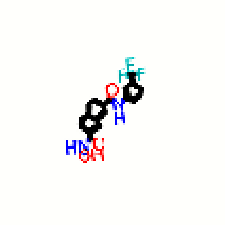 O=C(NO)c1ccc2ccc(C(=O)Nc3cccc(C(F)(F)F)c3)cc2c1